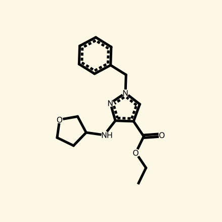 CCOC(=O)c1cn(Cc2ccccc2)nc1NC1CCOC1